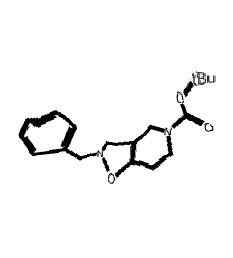 CC(C)(C)OC(=O)N1CCC2ON(Cc3ccccc3)CC2C1